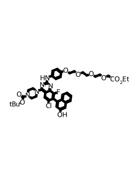 CCOC(=O)COCCOCCOCCOc1ccc(Nc2nc(N3CCN(C(=O)OC(C)(C)C)CC3)c3cc(Cl)c(-c4cc(O)cc5ccccc45)c(F)c3n2)cc1